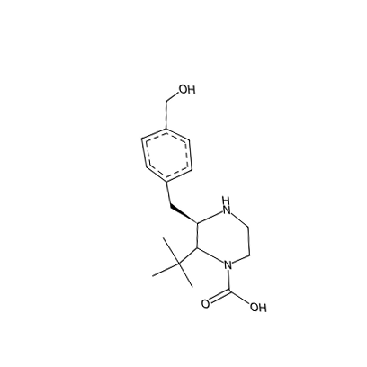 CC(C)(C)C1[C@@H](Cc2ccc(CO)cc2)NCCN1C(=O)O